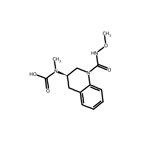 CONC(=O)N1C[C@H](N(C)C(=O)O)Cc2ccccc21